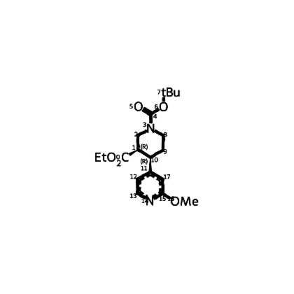 CCOC(=O)[C@H]1CN(C(=O)OC(C)(C)C)CC[C@H]1c1ccnc(OC)c1